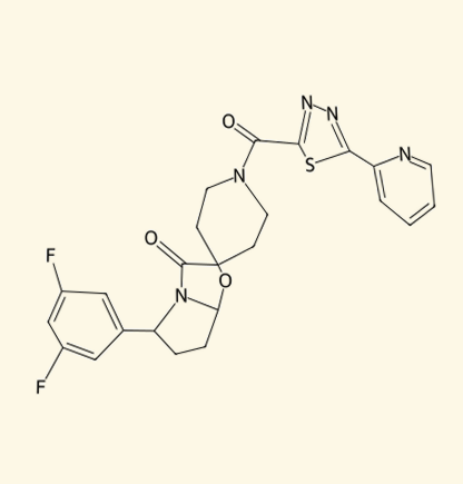 O=C(c1nnc(-c2ccccn2)s1)N1CCC2(CC1)OC1CCC(c3cc(F)cc(F)c3)N1C2=O